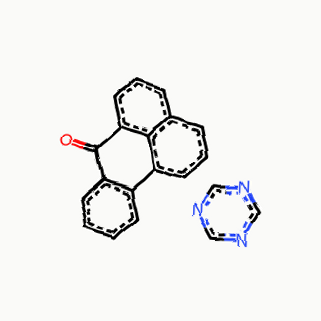 O=C1c2ccccc2-c2cccc3cccc1c23.c1ncncn1